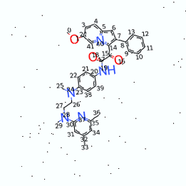 COc1ccc2cc(-c3ccccc3)c(C(=O)C(=O)Nc3ccc(N(C)CCN(C)c4cc(C)cc(C)n4)cc3)n2c1